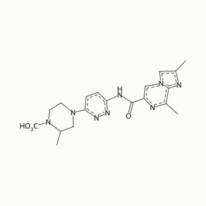 Cc1cn2cc(C(=O)Nc3ccc(N4CCN(C(=O)O)C(C)C4)nn3)nc(C)c2n1